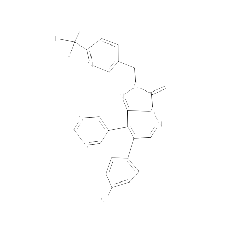 O=c1n(Cc2ccc(C(F)(F)F)nc2)nc2c(-c3cncnc3)c(-c3ccc(Cl)cc3)cnn12